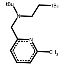 Cc1cccc(CN(CCC(C)(C)C)C(C)(C)C)n1